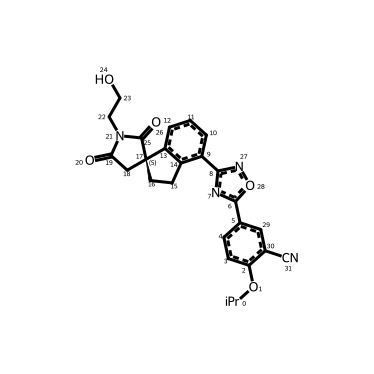 CC(C)Oc1ccc(-c2nc(-c3cccc4c3CC[C@]43CC(=O)N(CCO)C3=O)no2)cc1C#N